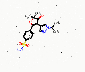 CC(C)n1cc(C2=C(c3ccc(S(N)(=O)=O)cc3)OC(C)(C)C2=O)cn1